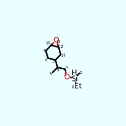 CC[SiH](C)OCC(C)C1CCC2OC2C1